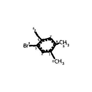 Cc1cc(Br)c(I)cc1C